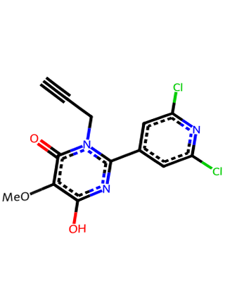 C#CCn1c(-c2cc(Cl)nc(Cl)c2)nc(O)c(OC)c1=O